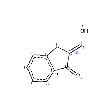 O=C1/C(=C/O)Cc2ccccc21